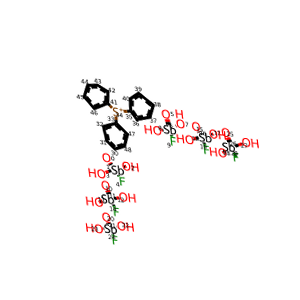 [O]=[Sb]([OH])([OH])[F].[O]=[Sb]([OH])([OH])[F].[O]=[Sb]([OH])([OH])[F].[O]=[Sb]([OH])([OH])[F].[O]=[Sb]([OH])([OH])[F].[O]=[Sb]([OH])([OH])[F].c1ccc([S+](c2ccccc2)c2ccccc2)cc1